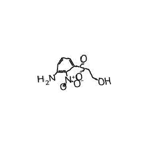 Nc1cccc(S(=O)(=O)CCO)c1[N+](=O)[O-]